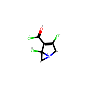 O=C(Cl)C1=C(Cl)CN2CC12Cl